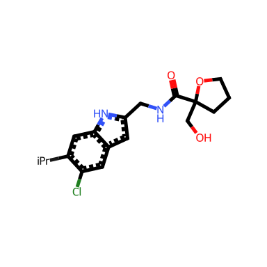 CC(C)c1cc2[nH]c(CNC(=O)C3(CO)CCCO3)cc2cc1Cl